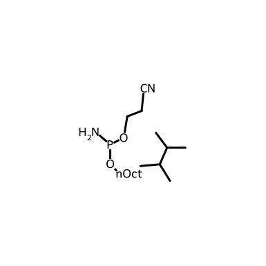 CC(C)C(C)C.CCCCCCCCOP(N)OCCC#N